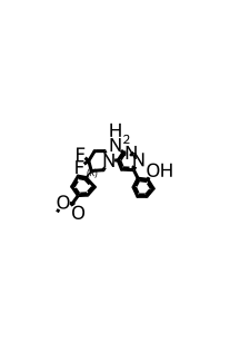 COC(=O)c1ccc([C@@H]2CN(c3cc(-c4ccccc4O)nnc3N)CCC2(F)F)cc1